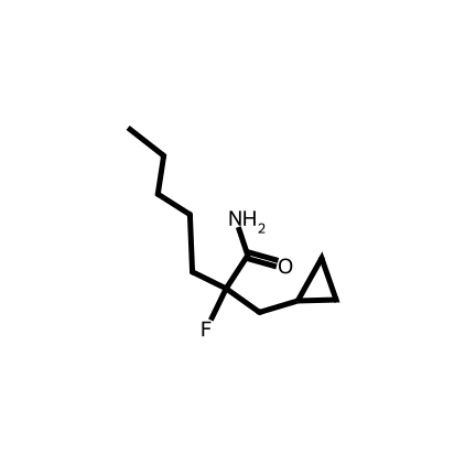 CCCCCC(F)(CC1CC1)C(N)=O